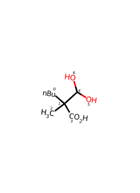 CCCCC(C)(C(=O)O)C(O)O